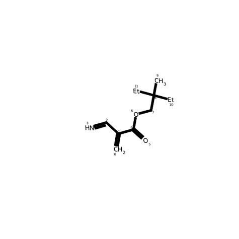 C=C(C=N)C(=O)OCC(C)(CC)CC